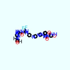 Cn1c(=O)n(C2CCC(=O)NC2=O)c2cccc(N3CCN(C4CCN(C[C@H]5CC[C@H](n6cc(NC(=O)c7cnn8ccc(N9C[C@H]%10C[C@@H]9CO%10)nc78)c(C(F)F)n6)CC5)CC4)CC3)c21